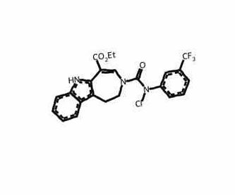 CCOC(=O)C1=CN(C(=O)N(Cl)c2cccc(C(F)(F)F)c2)CCc2c1[nH]c1ccccc21